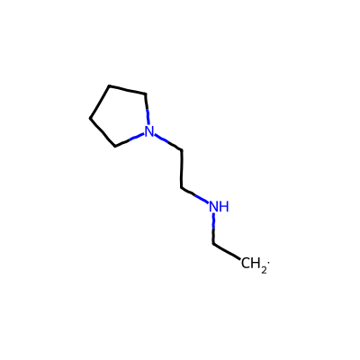 [CH2]CNCCN1CCCC1